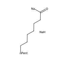 CCCCCCCCCCC[C](=O)[Na].[NaH]